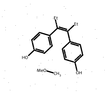 CCC(=C(CC)c1ccc(O)cc1)c1ccc(O)cc1.COC